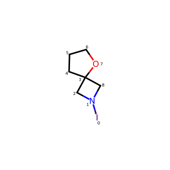 IN1CC2(CCCO2)C1